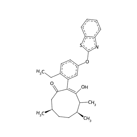 CCc1ccc(Oc2nc3ccccc3s2)cc1/C1=C(\O)C(C)[C@@H](C)CC[C@@H](C)CC1=O